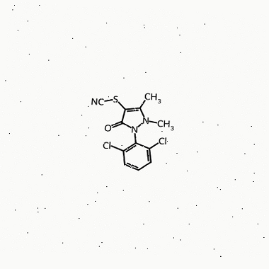 Cc1c(SC#N)c(=O)n(-c2c(Cl)cccc2Cl)n1C